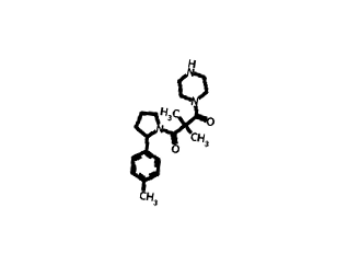 Cc1ccc(C2CCCN2C(=O)C(C)(C)C(=O)N2CCNCC2)cc1